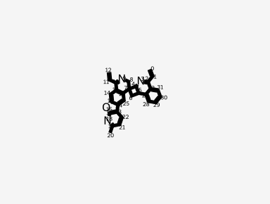 C=CC1=NC2C(CC23CN=C(C=C)c2cc4oc5nc(C)ccc5c4cc23)c2ccccc21